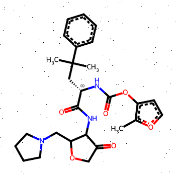 Cc1occc1OC(=O)N[C@@H](CC(C)(C)c1ccccc1)C(=O)NC1C(=O)COC1CN1CCCC1